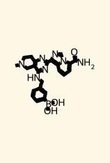 CN1CCc2nc(-c3ncn4c(C(N)=O)cccc34)nc(NCc3cccc(B(O)O)c3)c2C1